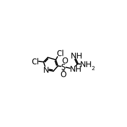 N=C(N)NS(=O)(=O)c1cnc(Cl)cc1Cl